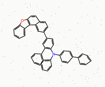 c1ccc(-c2ccc(N(c3ccccc3)c3ccc(-c4ccc5ccc6oc7ccccc7c6c5c4)cc3-c3ccccc3)cc2)cc1